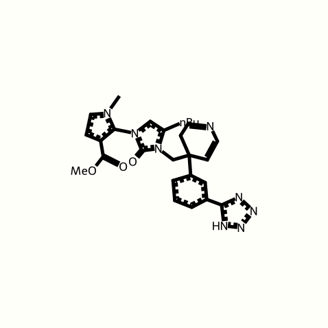 CCCCc1cn(-c2c(C(=O)OC)ccn2C)c(=O)n1CC1(c2cccc(-c3nnn[nH]3)c2)C=CN=CC1